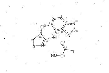 CC(=O)OO.Clc1ccc2nsnc2c1NC1=NCCN1